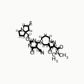 CN(C)C(=O)c1nn2c(c1Cl)CN(c1nc(OC[C@@]34CCCN3C[C@H](F)C4)nc(Cl)c1C#N)CCC2